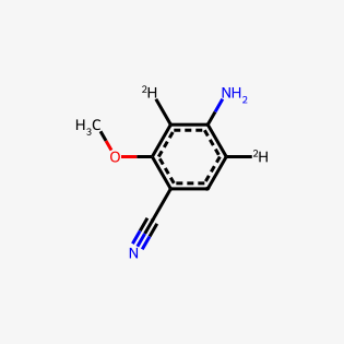 [2H]c1cc(C#N)c(OC)c([2H])c1N